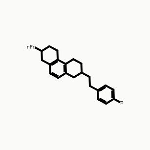 CCCC1CCc2c(ccc3c2CCC(CCc2ccc(F)cc2)C3)C1